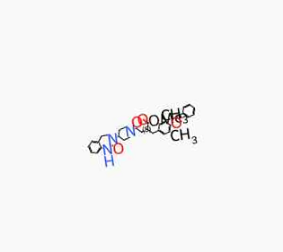 COC(=O)[C@H](CC(=O)N1CCC(N2CCc3ccccc3NC2=O)CC1)Cc1cc(C)c(OCc2ccccc2)c(C)c1